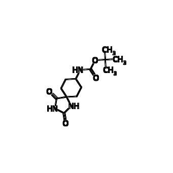 CC(C)(C)OC(=O)NC1CCC2(CC1)NC(=O)NC2=O